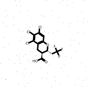 O=C(O)[C@H]1Cc2c(cc(Cl)c(Cl)c2Cl)O[C@@H]1CC(F)(F)F